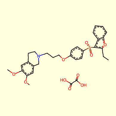 CCc1oc2ccccc2c1S(=O)(=O)c1ccc(OCCCN2CCc3cc(OC)c(OC)cc3C2)cc1.O=C(O)C(=O)O